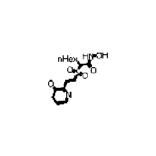 CCCCCCC(C(=O)NO)S(=O)(=O)CCC1=NC=CCC1=O